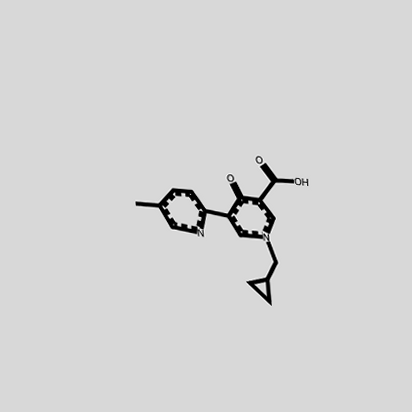 Cc1ccc(-c2cn(CC3CC3)cc(C(=O)O)c2=O)nc1